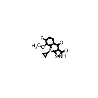 COc1c(F)ccc2c(=O)c3c(=O)[nH]sc3n(C3CC3)c12